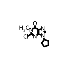 Cn1c(Cl)nc2c(ncn2C2CCCC2)c1=O